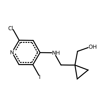 OCC1(CNc2cc(Cl)ncc2I)CC1